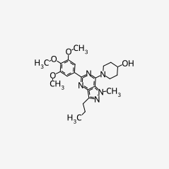 CCCc1nn(C)c2c(N3CCC(O)CC3)nc(-c3cc(OC)c(OC)c(OC)c3)nc12